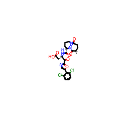 C[C@H]1CCC(=O)N2CCC[C@@H](C(=O)N[C@@H](CC(=O)O)C(=O)c3ncc(-c4c(Cl)cccc4Cl)o3)N2C1=O